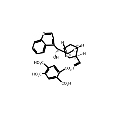 C=C[C@H]1CN2CC[C@H]1C[C@H]2[C@H](O)c1ccnc2ccccc12.O=C(O)c1cc(C(=O)O)c(C(=O)O)cc1C(=O)O